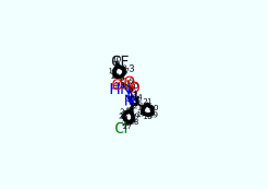 O=C(NS(=O)(=O)c1ccc(C(F)(F)F)cc1)N1C[C@@H](c2ccccc2)C(c2ccc(Cl)cc2)=N1